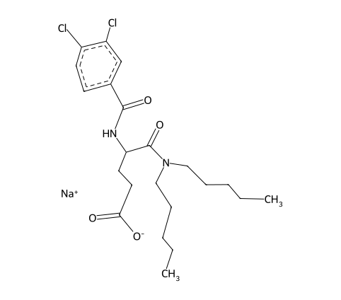 CCCCCN(CCCCC)C(=O)C(CCC(=O)[O-])NC(=O)c1ccc(Cl)c(Cl)c1.[Na+]